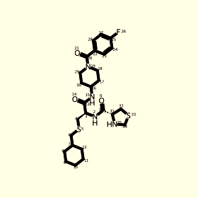 O=C(N[C@@H](CSCC1CCCCC1)C(=O)NC1CCN(C(=O)c2ccc(F)cc2)CC1)[C@@H]1CSCN1